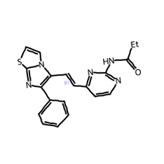 CCC(=O)Nc1nccc(/C=C/c2c(-c3ccccc3)nc3sccn23)n1